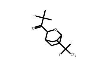 [CH2]CC(C)(C)C(=O)[C]1OC2CCC1CC2C(F)(F)C(F)(F)F